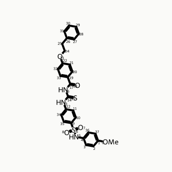 COc1ccc(NS(=O)(=O)c2ccc(NC(=S)NC(=O)c3ccc(OCCc4ccccc4)cc3)cc2)cc1